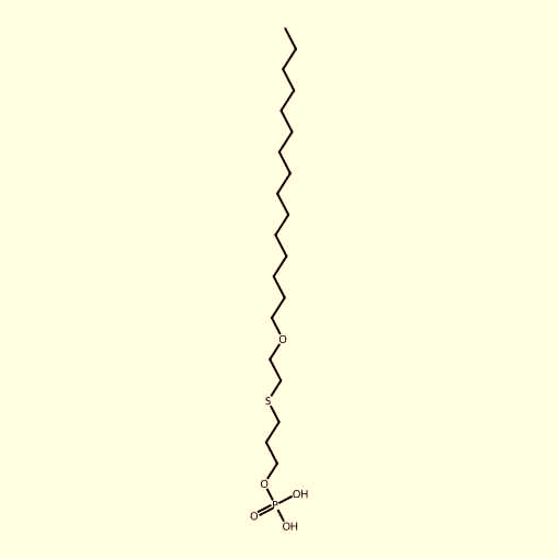 CCCCCCCCCCCCCCCOCCSCCCOP(=O)(O)O